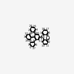 c1ccc(-c2cc(N3c4ccccc4Oc4ccccc43)cc(-c3ccccc3)c2-c2ccccc2)cc1